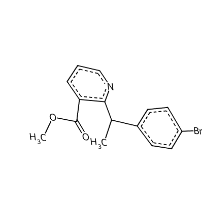 COC(=O)c1cccnc1C(C)c1ccc(Br)cc1